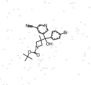 CC(C)(C)OC(=O)N1CC(C)(C(O)(c2ccc(Br)cc2)c2cncc(C#N)c2)C1